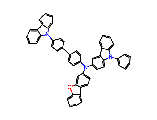 c1ccc(-n2c3ccccc3c3cc(N(c4ccc(-c5ccc(-n6c7ccccc7c7ccccc76)cc5)cc4)c4ccc5c(c4)oc4ccccc45)ccc32)cc1